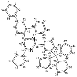 c1ccc(-c2ccc(-c3nc(-c4ccccc4)nc(-c4ccc5c(c4)C(c4ccccc4)(c4ccccc4)c4ccccc4-5)n3)c(-c3ccccc3)c2)cc1